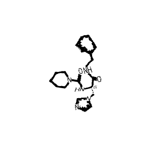 O=C(NCc1ccccc1)[C@H](Cn1ccnc1)NC(=O)N1CCCCC1